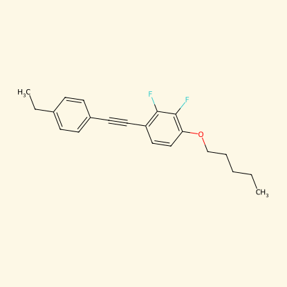 CCCCCOc1ccc(C#Cc2ccc(CC)cc2)c(F)c1F